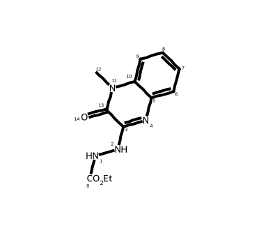 CCOC(=O)NNc1nc2ccccc2n(C)c1=O